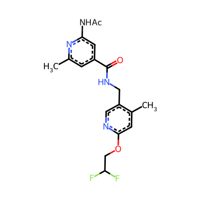 CC(=O)Nc1cc(C(=O)NCc2cnc(OCC(F)F)cc2C)cc(C)n1